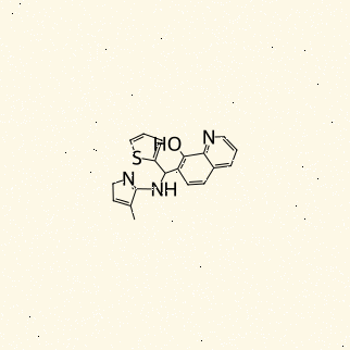 CC1=CCN=C1NC(c1cccs1)c1ccc2cccnc2c1O